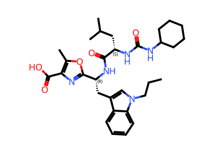 CCCn1cc(C[C@@H](NC(=O)[C@H](CC(C)C)NC(=O)NC2CCCCC2)c2nc(C(=O)O)c(C)o2)c2ccccc21